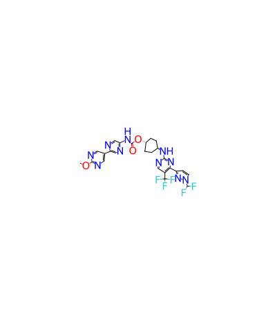 COc1ncc(-c2cnc(NC(=O)O[C@H]3CC[C@H](Nc4ncc(C(F)(F)F)c(-c5ccn(C(F)F)n5)n4)CC3)cn2)cn1